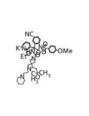 CCOc1ncccc1[C@]1(NC(=O)N2CC3(C2)CN(CCN2CCCCC2)C3CC(C)(C)[O-])C(=O)N(S(=O)(=O)c2ccc(OC)cc2)c2ccc(C#N)cc21.[K+]